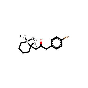 CC1(CC(=O)Cc2ccc(Br)cc2)CCCC[Si]1(C)C